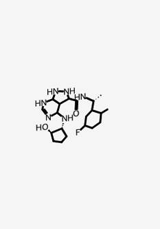 CC1CCC(F)CC1[C@@H](C)NC(=O)C1NNC2NC=NC(N[C@@H]3CCC[C@H]3O)C21